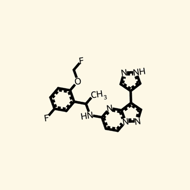 CC(Nc1ccn2ncc(-c3cn[nH]c3)c2n1)c1cc(F)ccc1OCF